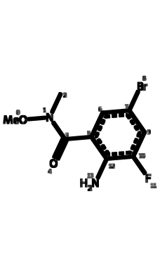 CON(C)C(=O)c1cc(Br)cc(F)c1N